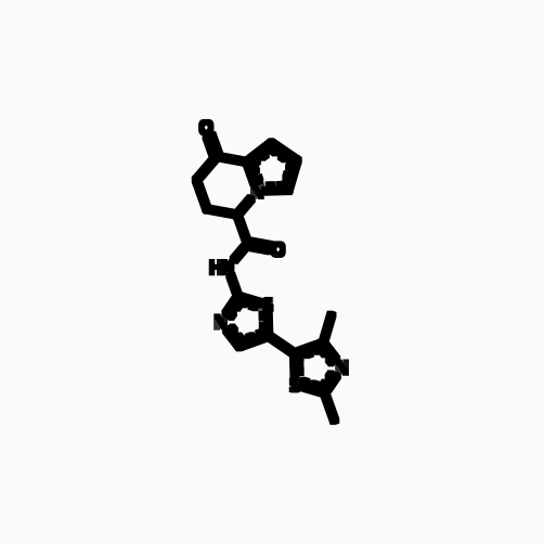 Cc1nc(C)c(-c2cnc(NC(=O)C3CCC(=O)c4cccn43)s2)s1